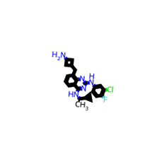 C[C@@H](Nc1nc(Nc2ccc(F)c(Cl)c2)nc2c(CC3CC(N)C3)cccc12)C1CC1